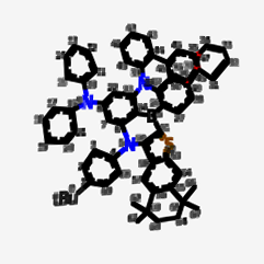 CC(C)(C)c1ccc(N2c3cc(N(c4ccccc4)c4ccccc4)cc4c3B(c3ccc(C5C=CC=CC5)cc3N4c3ccccc3-c3ccccc3)c3sc4cc5c(cc4c32)C(C)(C)CCC5(C)C)cc1